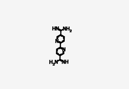 N=C(N)c1ccc(-c2ccc(C(=N)N)cn2)nc1